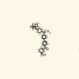 CN(c1ccc(-c2ccc(C(=O)N3CCC[C@@H](O)C3)cc2)cc1)C1CCN(CC2(C(F)(F)F)CCC2)CC1